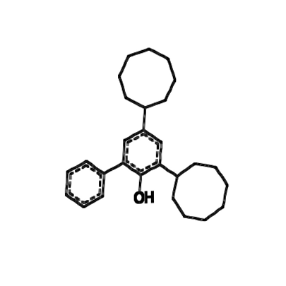 Oc1c(-c2ccccc2)cc(C2CCCCCCC2)cc1C1CCCCCCC1